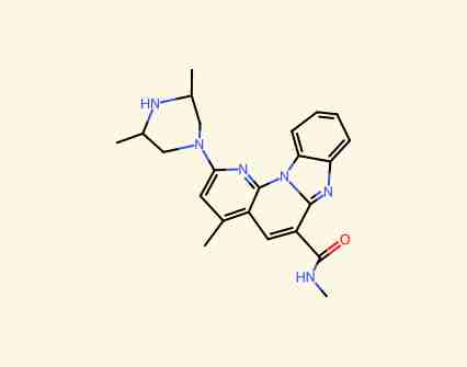 CNC(=O)c1cc2c(C)cc(N3CC(C)NC(C)C3)nc2n2c1nc1ccccc12